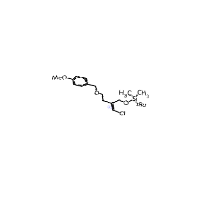 COc1ccc(COCC/C(=C/Cl)CO[Si](C)(C)C(C)(C)C)cc1